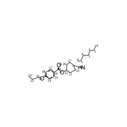 CCCCCCC[C@]1(C#N)CC[C@@H](OC(=O)c2ccc(OCCC)cc2)CC1